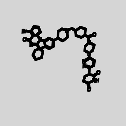 O=C1CCC(c2ccc(N3CCN(C(=O)C4CCC(CN5CCC(c6ccc7c(c6)-n6c(nc(=O)c8c(Br)cccc86)C76CCCCC6)CC5)CC4)CC3)nn2)C(=O)N1